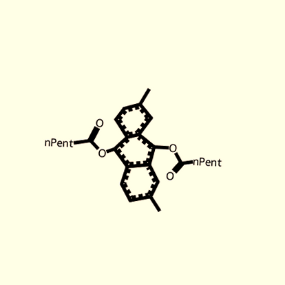 CCCCCC(=O)Oc1c2ccc(C)cc2c(OC(=O)CCCCC)c2cc(C)ccc12